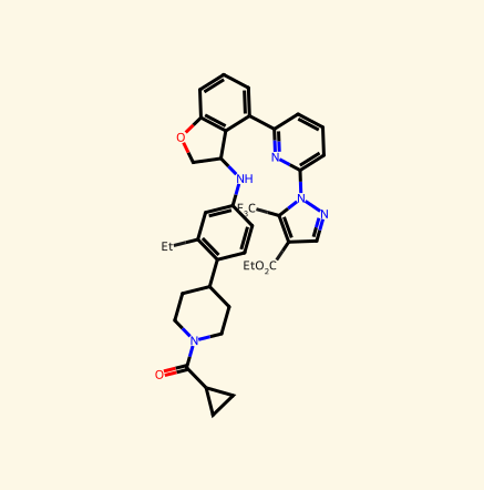 CCOC(=O)c1cnn(-c2cccc(-c3cccc4c3C(Nc3ccc(C5CCN(C(=O)C6CC6)CC5)c(CC)c3)CO4)n2)c1C(F)(F)F